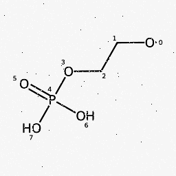 [O]CCOP(=O)(O)O